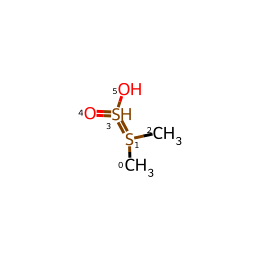 CS(C)=[SH](=O)O